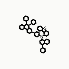 c1ccc(-c2ccc(N(c3ccc(-c4ccc5c(c4)c(-c4ccccc4)c(-c4ccccc4)c4ccccc45)cc3)c3cccc4sc5ccccc5c34)c3ccccc23)cc1